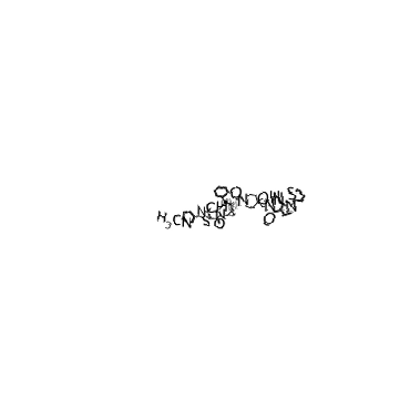 Cc1ccc(-c2nc(C)c(C(=O)N3CC[C@@H](C(=O)N4CCC(O)(Cn5cnc6c(ccn6-c6cccs6)c5=O)CC4)[C@H](c4ccccc4)C3)s2)cn1